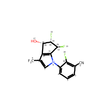 N#Cc1cccc(-n2cc(C(F)(F)F)c3c2[C@H](F)[C@@H](F)[C@H]3O)c1F